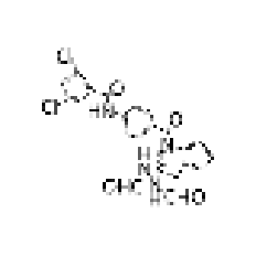 O=CNC1(NC=O)Cc2ccccc2N(C(=O)c2ccc(NC(=O)c3cc(Cl)cc(Cl)c3)cc2)C1